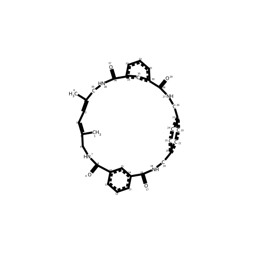 C/C1=C\C=C(/C)CNC(=O)c2cccc(c2)C(=O)NCc2ccc(cc2)CNC(=O)c2cccc(c2)C(=O)NC1